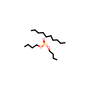 CCCCCCCCCC.CCCCO[PH](=O)OCCCC